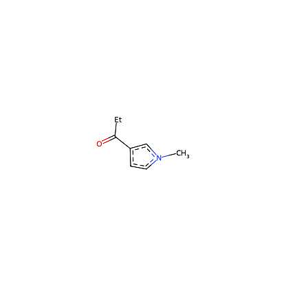 CCC(=O)c1ccn(C)c1